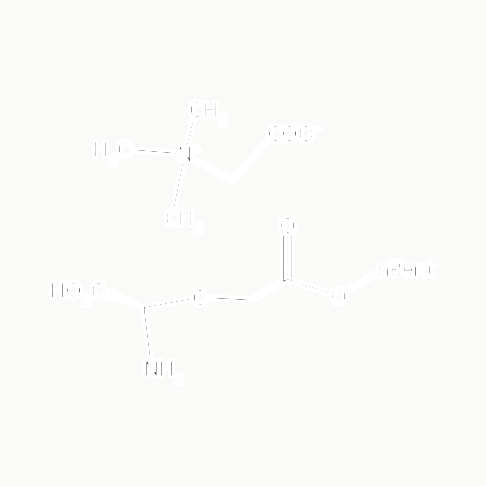 CCCCCOC(=O)CC[C@H](N)C(=O)O.C[N+](C)(C)CC(=O)[O-]